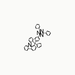 c1ccc(-c2nc(-c3ccccc3)nc(-c3ccc(C4(c5ccccc5)c5ccccc5-n5c6ccccc6c6cccc4c65)cc3)n2)cc1